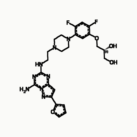 Nc1nc(NCCN2CCN(c3cc(OC[C@H](O)CO)c(F)cc3F)CC2)nc2cc(-c3ccco3)nn12